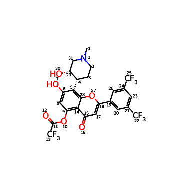 CN1CC[C@H](c2c(O)cc(OC(=O)C(F)(F)F)c3c(=O)cc(-c4cc(C(F)(F)F)cc(C(F)(F)F)c4)oc23)[C@H](O)C1